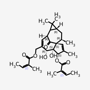 C/C=C(/C)C(=O)OCC1=C[C@@H]2C(=O)[C@]3(C=C(C)[C@H](OC(=O)/C(C)=C\C)[C@@]3(O)[C@@H]1O)[C@H](C)C[C@@H]1C2C1(C)C